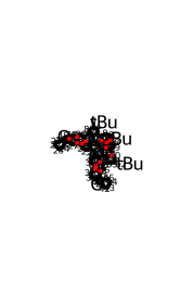 CC(C)(C)c1cc(-c2ccccc2)c(N2c3cc(-c4ccc5oc6ccccc6c5c4)ccc3B3c4ccc(-c5ccc6oc7ccccc7c6c5)cc4N(c4c(-c5ccccc5)cc(C(C)(C)C)cc4-c4ccccc4)c4cc(C(C)(C)C)cc2c43)c(-c2ccccc2)c1